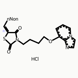 CCCCCCCCC/C=C1/SC(=O)N(CCCCOc2cccn3ccnc23)C1=O.Cl